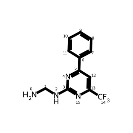 NCNc1nc(-c2ccccc2)cc(C(F)(F)F)n1